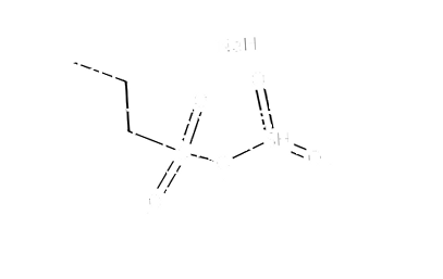 CCCS(=O)(=O)O[SH](=O)=O.[NaH]